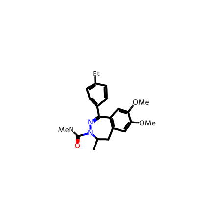 CCc1ccc(C2=NN(C(=O)NC)C(C)Cc3cc(OC)c(OC)cc32)cc1